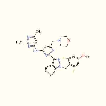 CCOc1cc(F)c(Cn2nc(-c3nc(CN4CCOCC4)cc(Nc4cc(C)nc(C)n4)n3)c3ccccc32)c(F)c1